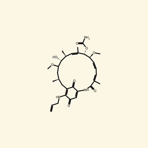 C=CCNC1=C2C[C@@H](C)CC(OC)[C@H](O)[C@@H](C)C=C(C)[C@H](OC(N)=O)[C@@H](OC)C=CC=C(C)C(=O)NC(=CC1=O)C2=O